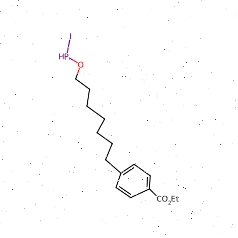 CCOC(=O)c1ccc(CCCCCCCOPI)cc1